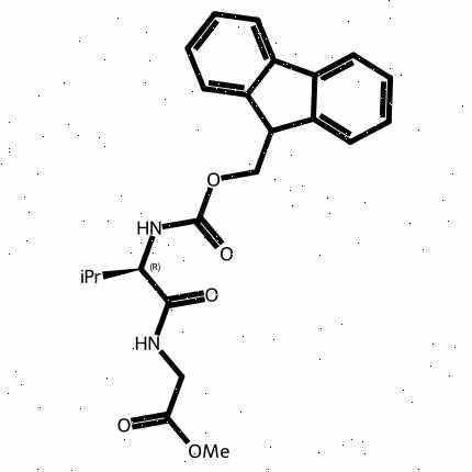 COC(=O)CNC(=O)[C@H](NC(=O)OCC1c2ccccc2-c2ccccc21)C(C)C